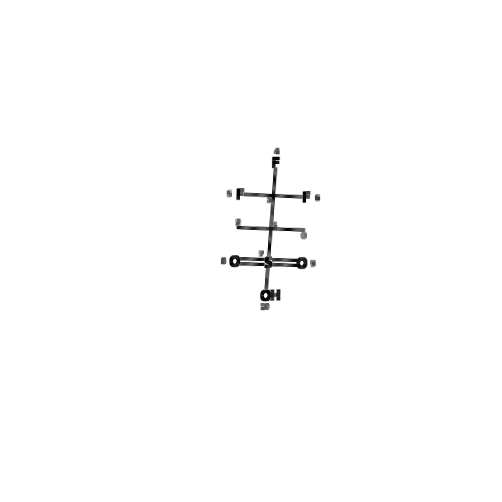 CC(C)(C(F)(F)F)S(=O)(=O)O